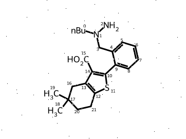 CCCCN(N)Cc1ccccc1-c1sc2c(c1C(=O)O)CC(C)(C)CC2